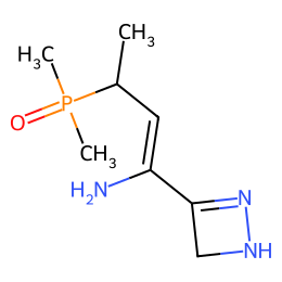 CC(/C=C(\N)C1=NNC1)P(C)(C)=O